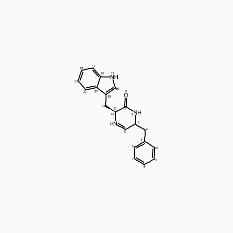 O=C1NC(Cc2ccccc2)C=N[C@H]1Cc1c[nH]c2ccccc12